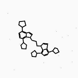 C1=CC(CCCC2C=Cc3c(C4CCCC4)ccc(C4CCCC4)c32)c2c(C3CCCC3)ccc(C3CCCC3)c21